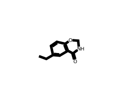 CCc1ccc2c(c1)C(=O)NCO2